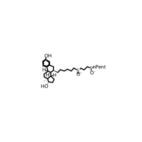 CCCCC[S+]([O-])CCC[S+]([O-])CCCCCC[C@@H]1Cc2cc(O)ccc2[C@H]2CC[C@]3(C)[C@@H](O)CC[C@H]3[C@H]12